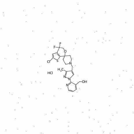 Cc1nn(-c2ncccc2CO)cc1CN1CCC2(CC1)OCC(F)(F)c1cc(Cl)sc12.Cl